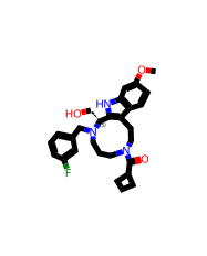 COc1ccc2c3c([nH]c2c1)[C@@H](CO)N(Cc1cccc(F)c1)CCCN(C(=O)C1CCC1)CC3